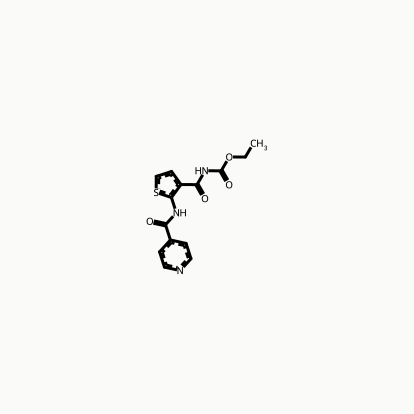 CCOC(=O)NC(=O)c1ccsc1NC(=O)c1ccncc1